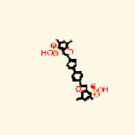 Cc1cc(C)c2oc(-c3ccc(-c4ccc(-c5cc6c(S(=O)(=O)O)c(C)cc(C)c6o5)cc4)cc3)cc2c1S(=O)(=O)O